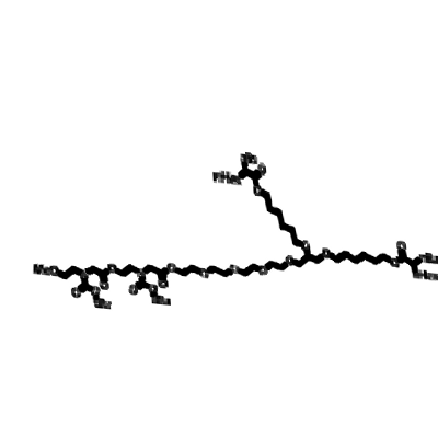 CCCCCCC(CCCC)C(=O)OCCCCCCOCC(COCCOCCOCCOCCOC(=O)CN(CCOC(=O)CN(CCOC)C(=O)OC(C)(C)C)C(=O)OC(C)(C)C)OCCCCCCOC(=O)C(CCCC)CCCCCC